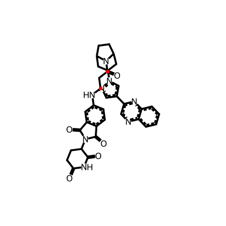 O=C1CCC(N2C(=O)c3ccc(NCCC(=O)N4C5CCC4CC(n4cc(-c6cnc7ccccc7n6)cn4)C5)cc3C2=O)C(=O)N1